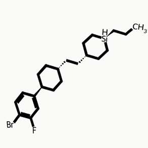 CCC[Si@H]1CC[C@H](CC[C@H]2CC[C@H](c3ccc(Br)c(F)c3)CC2)CC1